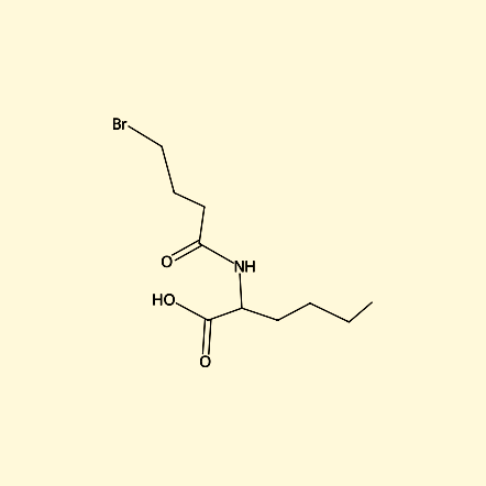 CCCCC(NC(=O)CCCBr)C(=O)O